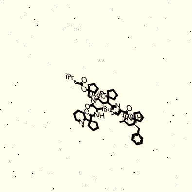 CCC(C)C(NC(=O)C1(C2CCCCN2C)CCCC1)C(=O)N(CC1(OC(=O)CC(C)C)CCCC1)[C@H](CC(c1nc(C(=O)NC2([C@@H](Cc3ccccc3)C[C@H](C)C(=O)O)CCCC2)cs1)C1(OC(C)=O)CCCC1)C(C)C